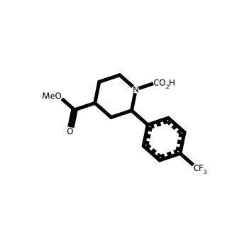 COC(=O)C1CCN(C(=O)O)C(c2ccc(C(F)(F)F)cc2)C1